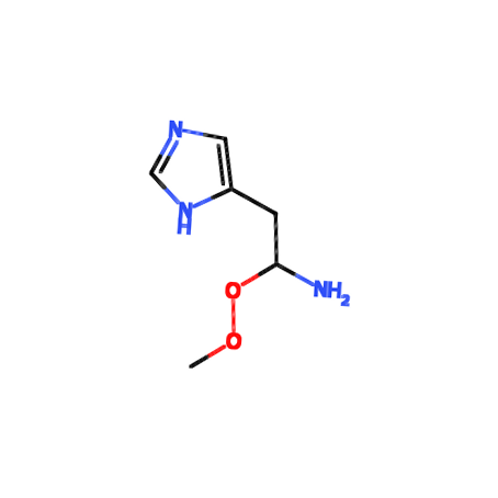 COOC(N)Cc1cnc[nH]1